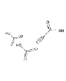 C=P(=O)O.C=P(=O)O.N#CC(=O)O